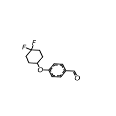 O=Cc1ccc(OC2CCC(F)(F)CC2)cc1